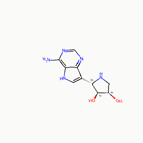 Nc1ncnc2c([C@@H]3NC[C@@H](O)[C@H]3O)c[nH]c12